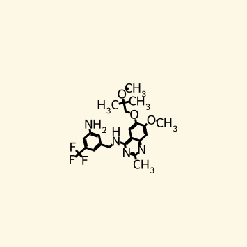 COc1cc2nc(C)nc(NCc3cc(N)cc(C(F)(F)F)c3)c2cc1OCC(C)(C)OC